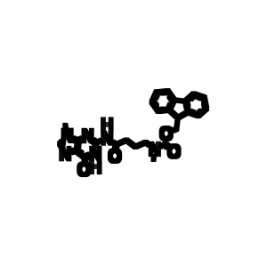 CN(CCCC(=O)Nc1nc2c(ncn2C)c(=O)[nH]1)C(=O)OCC1c2ccccc2-c2ccccc21